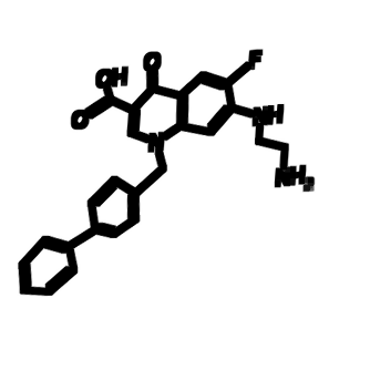 NCCNc1cc2c(cc1F)c(=O)c(C(=O)O)cn2Cc1ccc(-c2ccccc2)cc1